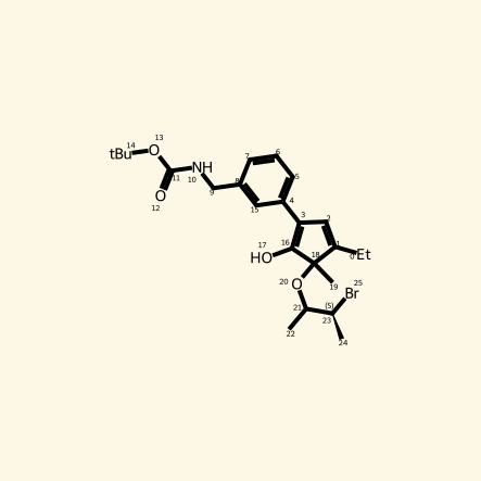 CCC1=CC(c2cccc(CNC(=O)OC(C)(C)C)c2)=C(O)C1(C)OC(C)[C@H](C)Br